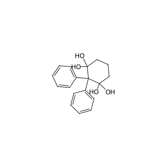 OC1(O)CCCC(O)(O)C1(c1ccccc1)c1ccccc1